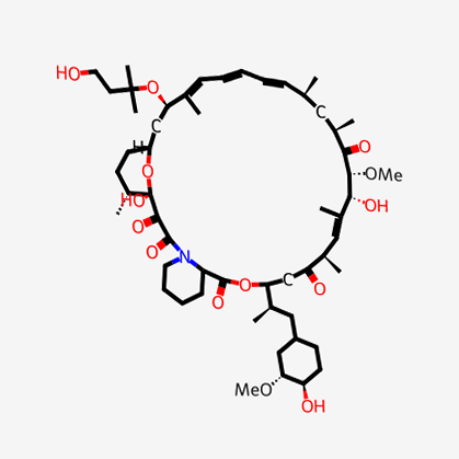 CO[C@@H]1CC(C[C@@H](C)C2CC(=O)[C@H](C)/C=C(\C)[C@@H](O)[C@@H](OC)C(=O)[C@H](C)C[C@H](C)/C=C/C=C/C=C(\C)[C@H](OC(C)(C)CCO)C[C@@H]3CC[C@@H](C)[C@@](O)(O3)C(=O)C(=O)N3CCCCC3C(=O)O2)CC[C@H]1O